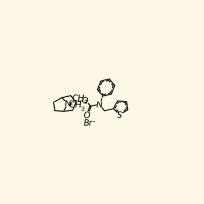 C[N+]1(C)C2CCC1CC(OC(=O)N(Cc1cccs1)c1ccccc1)C2.[Br-]